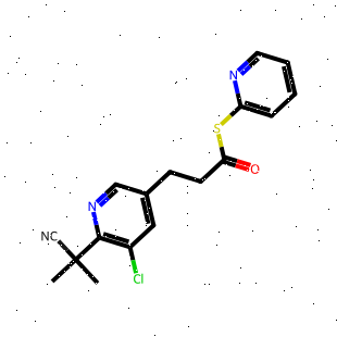 CC(C)(C#N)c1ncc(CCC(=O)Sc2ccccn2)cc1Cl